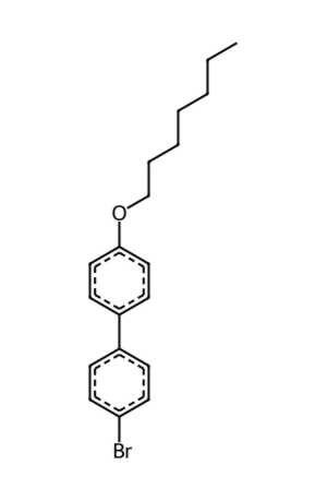 CCCCCCCOc1ccc(-c2ccc(Br)cc2)cc1